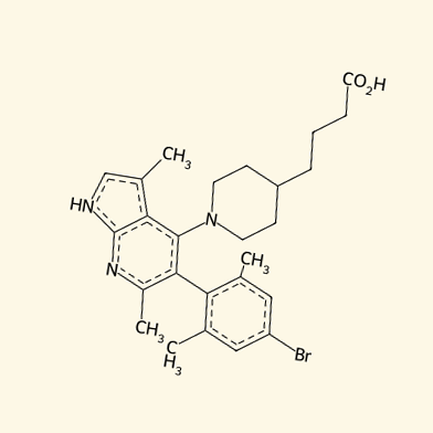 Cc1cc(Br)cc(C)c1-c1c(C)nc2[nH]cc(C)c2c1N1CCC(CCCC(=O)O)CC1